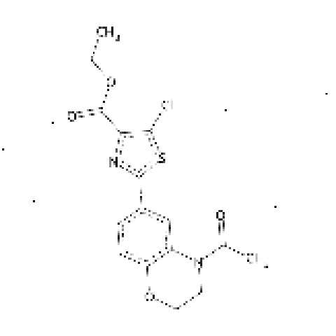 CCOC(=O)c1nc(-c2ccc3c(c2)N(C(C)=O)CCO3)sc1Cl